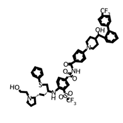 O=C(NS(=O)(=O)c1ccc(N[C@H](CC[C@@H]2CCCN2CCO)CSc2ccccc2)c(S(=O)(=O)C(F)(F)F)c1)c1ccc(N2CCC([C@@H](O)c3ccccc3-c3ccc(C(F)(F)F)cc3)CC2)cc1